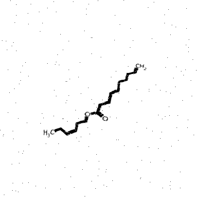 C=CCCCCCCCC(=O)OCC/C=C\CC